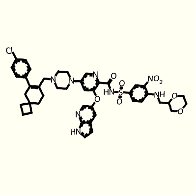 O=C(NS(=O)(=O)c1ccc(NCC2COCCO2)c([N+](=O)[O-])c1)c1ncc(N2CCN(CC3=C(c4ccc(Cl)cc4)CC4(CCC4)CC3)CC2)cc1Oc1cnc2[nH]ccc2c1